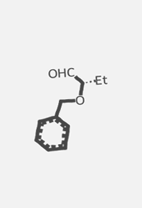 CC[C@@H](C=O)OCc1ccccc1